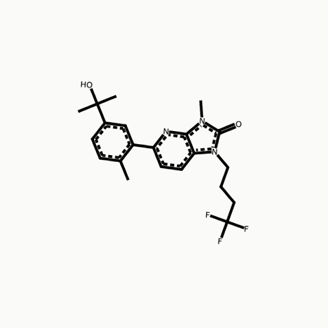 Cc1ccc(C(C)(C)O)cc1-c1ccc2c(n1)n(C)c(=O)n2CCCC(F)(F)F